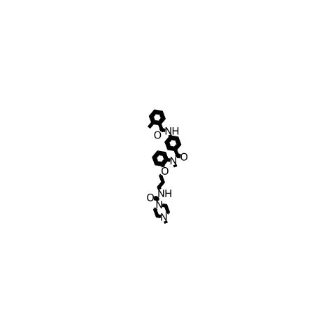 Cc1ccccc1C(=O)Nc1ccc(C(=O)N(C)c2ccccc2OCCCNC(=O)N2CCN(C)CC2)cc1